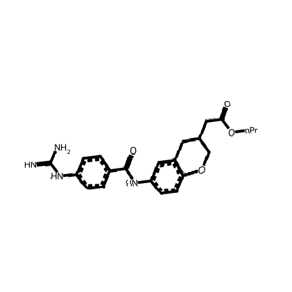 CCCOC(=O)CC1COc2ccc(NC(=O)c3ccc(NC(=N)N)cc3)cc2C1